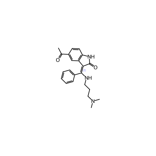 CC(=O)c1ccc2c(c1)/C(=C(/NCCCN(C)C)c1ccccc1)C(=O)N2